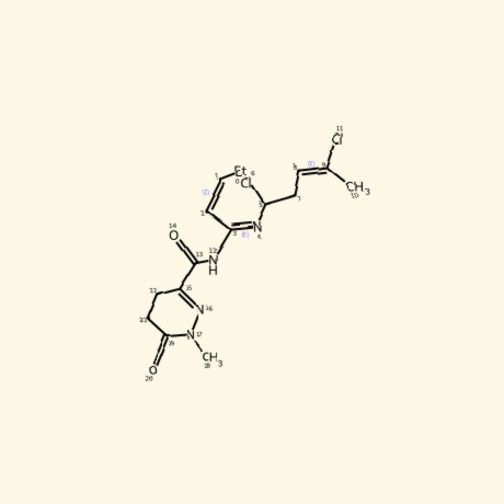 CC/C=C\C(=N/C(Cl)C/C=C(\C)Cl)NC(=O)C1=NN(C)C(=O)CC1